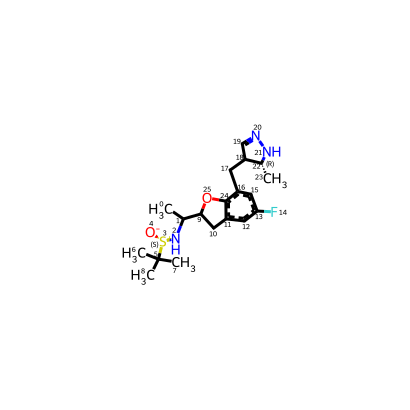 CC(N[S@+]([O-])C(C)(C)C)C1Cc2cc(F)cc(CC3C=NN[C@@H]3C)c2O1